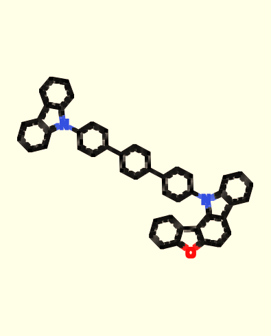 c1ccc2c(c1)oc1ccc3c4ccccc4n(-c4ccc(-c5ccc(-c6ccc(-n7c8ccccc8c8ccccc87)cc6)cc5)cc4)c3c12